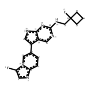 Fc1cnc2ccc(-c3c[nH]c4nc(NCC5(F)CCC5)ncc34)cn12